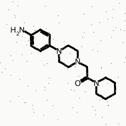 Nc1ccc(N2CCN(CC(=O)N3CCCCC3)CC2)cc1